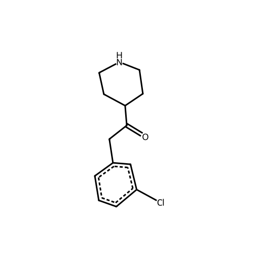 O=C(Cc1cccc(Cl)c1)C1CCNCC1